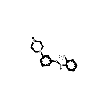 CN1CCN(c2cccc(SNc3ccccc3[N+](=O)[O-])c2)CC1